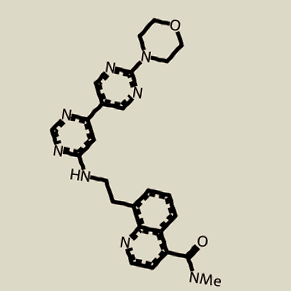 CNC(=O)c1ccnc2c(CCNc3cc(-c4cnc(N5CCOCC5)nc4)ncn3)cccc12